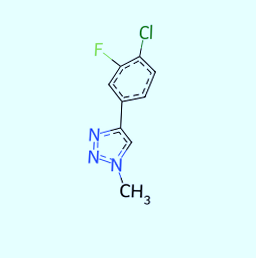 Cn1cc(-c2ccc(Cl)c(F)c2)nn1